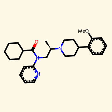 COc1ccccc1C1CCN([C@H](C)CN(C(=O)C2CCCCC2)c2ccccn2)CC1